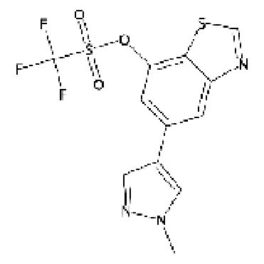 Cn1cc(-c2cc(OS(=O)(=O)C(F)(F)F)c3scnc3c2)cn1